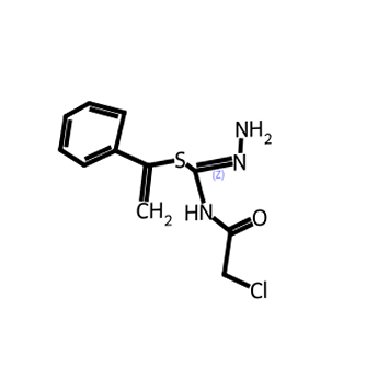 C=C(S/C(=N\N)NC(=O)CCl)c1ccccc1